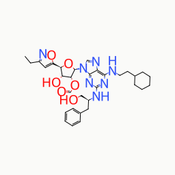 CCc1cc([C@H]2O[C@@H](n3cnc4c(NCCC5CCCCC5)nc(N[C@H](CO)Cc5ccccc5)nc43)[C@H](OC=O)[C@@H]2O)on1